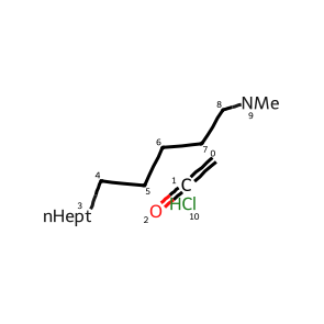 C=C=O.CCCCCCCCCCCCNC.Cl